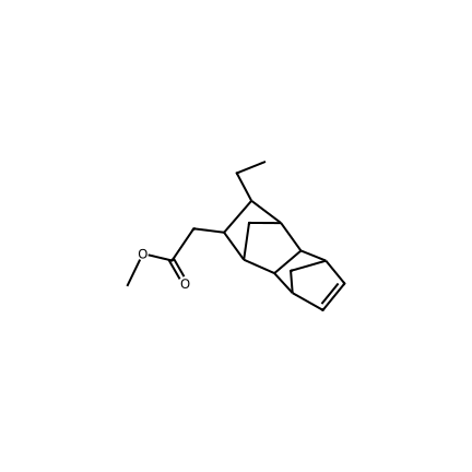 CCC1C(CC(=O)OC)C2CC1C1C3C=CC(C3)C21